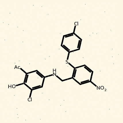 CC(=O)c1cc(NCc2cc([N+](=O)[O-])ccc2Sc2ccc(Cl)cc2)cc(Cl)c1O